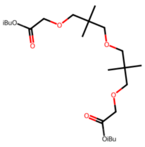 CC(C)COC(=O)COCC(C)(C)COCC(C)(C)COCC(=O)OCC(C)C